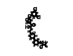 CC(C)C(=O)Nc1cccc(C2CCN(CCNC(=O)c3coc(Oc4cc(Cl)cc(Cl)c4)c3)CC2)c1